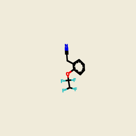 N#CCc1ccccc1OC(F)(F)C(F)F